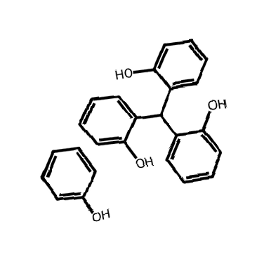 Oc1ccccc1.Oc1ccccc1C(c1ccccc1O)c1ccccc1O